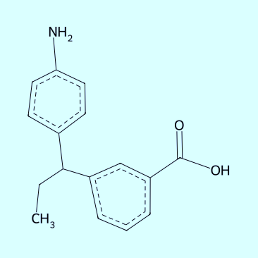 CCC(c1ccc(N)cc1)c1cccc(C(=O)O)c1